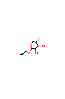 C=CCOC1OCC(O)C(O)C1O